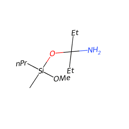 CCC[Si](C)(OC)OC(N)(CC)CC